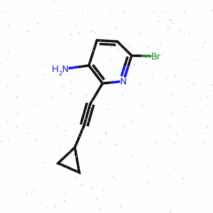 Nc1ccc(Br)nc1C#CC1CC1